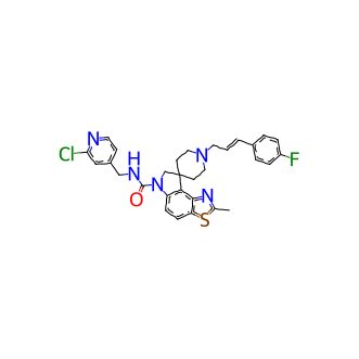 Cc1nc2c3c(ccc2s1)N(C(=O)NCc1ccnc(Cl)c1)CC31CCN(CC=Cc2ccc(F)cc2)CC1